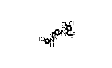 O=C(NC(CC(F)(F)F)c1ccc(Cl)c(Cl)c1)N1CCc2cnc(N[C@H]3CC[C@H](O)C3)nc2C1